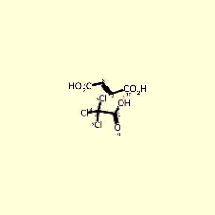 O=C(O)C(Cl)(Cl)Cl.O=C(O)C=CC(=O)O